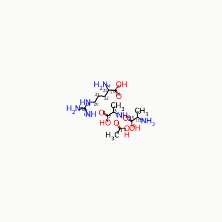 CC(=O)O.CC(N)C(=O)O.CC(N)C(=O)O.N=C(N)NCCCC(N)C(=O)O